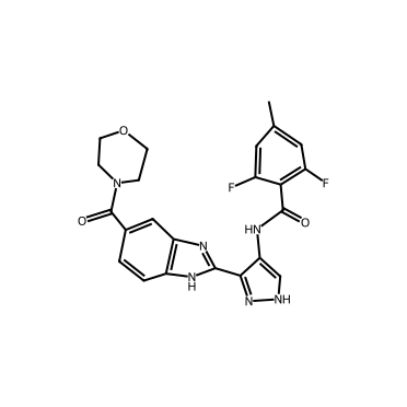 Cc1cc(F)c(C(=O)Nc2c[nH]nc2-c2nc3cc(C(=O)N4CCOCC4)ccc3[nH]2)c(F)c1